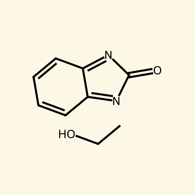 CCO.O=C1N=c2ccccc2=N1